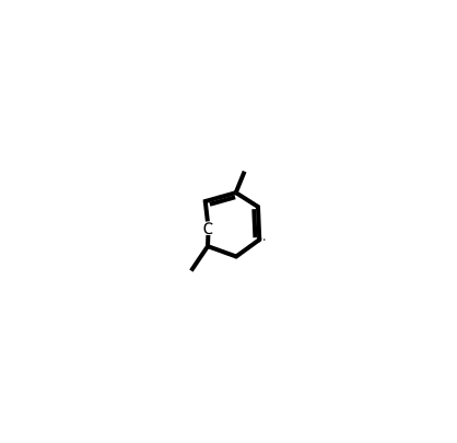 CC1=CCC(C)C[C]=C1